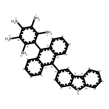 Bc1c(B)c(B)c(-c2c3ccccc3c(-c3ccc4sc5ccccc5c4c3)c3ccccc23)c(B)c1B